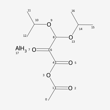 CC(=O)OC(=O)C(=O)C(OC(C)C)OC(C)C.[AlH3]